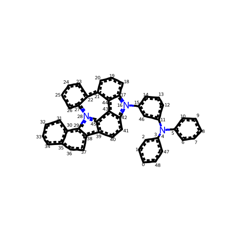 c1ccc(N(c2ccccc2)c2cccc(-n3c4cccc5c6ccccc6n6c7c8ccccc8ccc7c7ccc3c(c54)c76)c2)cc1